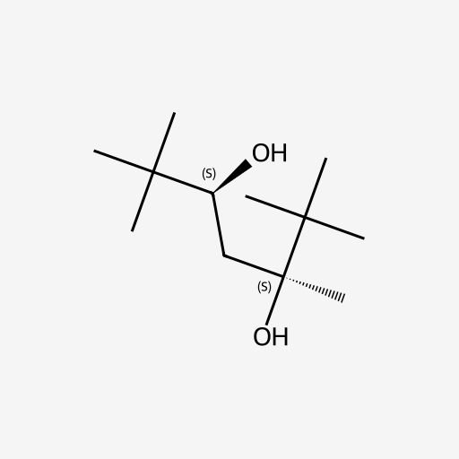 CC(C)(C)[C@@H](O)C[C@](C)(O)C(C)(C)C